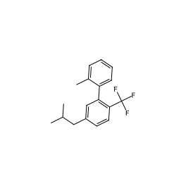 Cc1ccccc1-c1cc(CC(C)C)ccc1C(F)(F)F